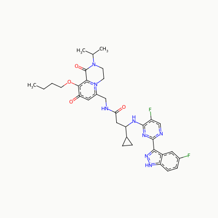 CCCCOc1c2n(c(CNC(=O)CC(Nc3nc(-c4n[nH]c5ccc(F)cc45)ncc3F)C3CC3)cc1=O)CCN(C(C)C)C2=O